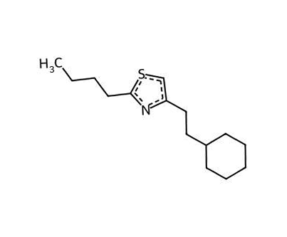 CCCCc1nc(CCC2CCCCC2)cs1